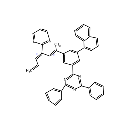 C=C/C=C(\C=C(/C)c1cc(-c2nc(-c3ccccc3)nc(-c3ccccc3)n2)cc(-c2cccc3ccccc23)c1)c1ncccn1